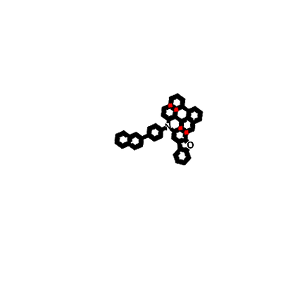 c1ccc(-c2cccc3cccc(-c4ccccc4N(c4ccc(-c5ccc6ccccc6c5)cc4)c4ccc5oc6ccccc6c5c4)c23)cc1